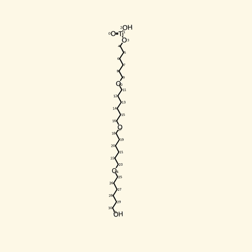 [O]=[Ti]([OH])[O]CCCCCCOCCCCCCOCCCCCCOCCCCCCO